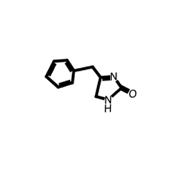 O=C1N=C(Cc2ccccc2)CN1